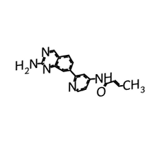 C/C=C/C(=O)Nc1ccnc(-c2ccc3cnc(N)nc3c2)c1